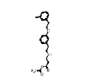 Cc1cccc(CCOc2cccc(CCNCCC(=O)OC(=O)C(F)(F)F)c2)c1